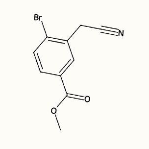 COC(=O)c1ccc(Br)c(CC#N)c1